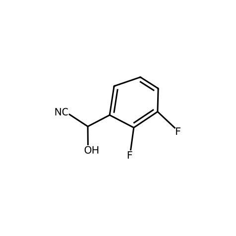 N#CC(O)c1cccc(F)c1F